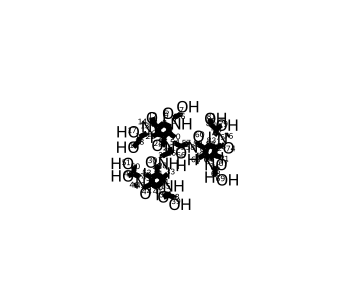 Cc1c(NC(=O)CO)c(I)c(C(=O)N(C)CC(O)CO)c(I)c1C(=O)N(CCNC(=O)c1c(I)c(NC(=O)CO)c(I)c(C(=O)N(C)CC(O)CO)c1I)CC(O)CNC(=O)c1c(I)c(NC(=O)CO)c(I)c(C(=O)N(C)CC(O)CO)c1I